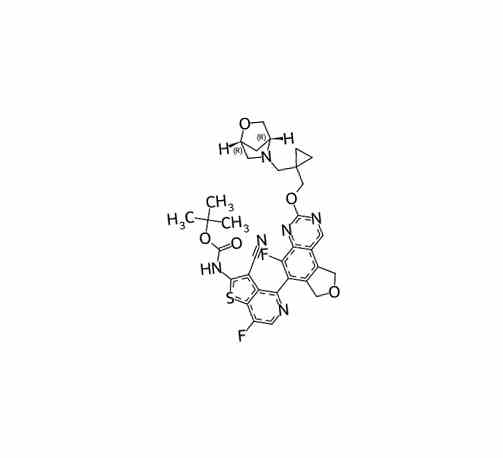 CC(C)(C)OC(=O)Nc1sc2c(F)cnc(-c3c4c(c5cnc(OCC6(CN7C[C@H]8C[C@@H]7CO8)CC6)nc5c3F)COC4)c2c1C#N